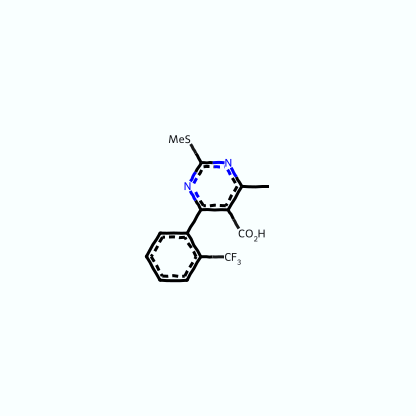 CSc1nc(C)c(C(=O)O)c(-c2ccccc2C(F)(F)F)n1